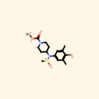 Cc1cc(N(C2CCN(C(=O)OC(C)(C)C)CC2)[S+](C)[O-])cc(C)c1Br